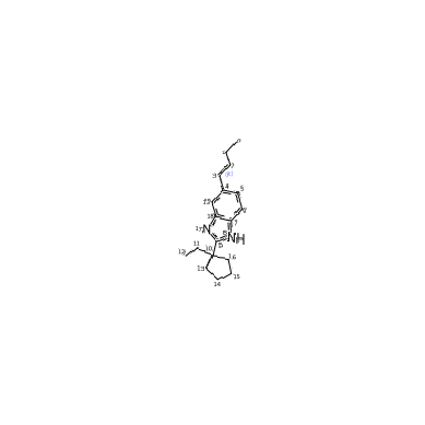 CC/C=C/c1ccc2[nH]c(C3(CC)CCCC3)nc2c1